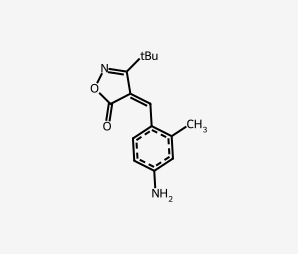 Cc1cc(N)ccc1C=C1C(=O)ON=C1C(C)(C)C